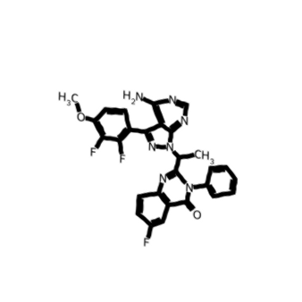 COc1ccc(-c2nn(C(C)c3nc4ccc(F)cc4c(=O)n3-c3ccccc3)c3ncnc(N)c23)c(F)c1F